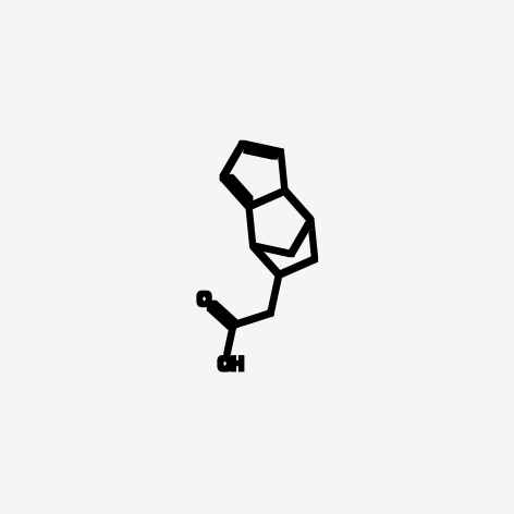 O=C(O)CC1CC2CC1C1=CC=CC12